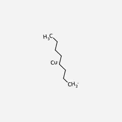 [CH2]CCCCCCC.[Cu]